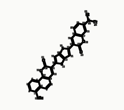 CCCCc1cccc2c1ccc1cc(-c3cc4sc(-c5cc6ccc(N(CC)CC)cc6oc5=O)cc4s3)c(=O)oc12